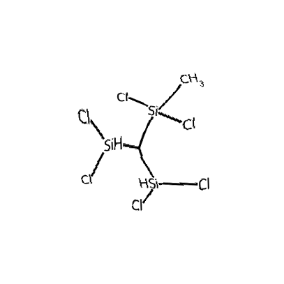 C[Si](Cl)(Cl)C([SiH](Cl)Cl)[SiH](Cl)Cl